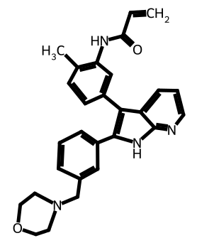 C=CC(=O)Nc1cc(-c2c(-c3cccc(CN4CCOCC4)c3)[nH]c3ncccc23)ccc1C